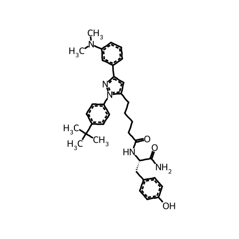 CN(C)c1cccc(-c2cc(CCCCC(=O)N[C@@H](Cc3ccc(O)cc3)C(N)=O)n(-c3ccc(C(C)(C)C)cc3)n2)c1